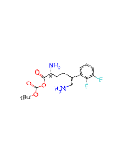 CC(C)(C)OC(=O)OC(=O)[C@H](N)CCC(CN)c1cccc(F)c1F